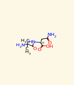 CC(C)(N)C(=O)N[C@@H](CC(N)=O)C(=O)O